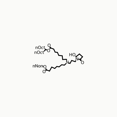 CCCCCCCCCOC(=O)CCCCCCCN(CCCCCCCC(=O)OC(CCCCCCCC)CCCCCCCC)CCCN1C(=O)CCC1O